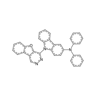 c1ccc(N(c2ccccc2)c2ccc3c(c2)c2ccccc2n3-c2nncc3c2oc2ccccc23)cc1